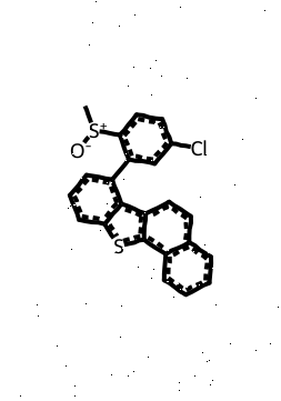 C[S+]([O-])c1ccc(Cl)cc1-c1cccc2sc3c4ccccc4ccc3c12